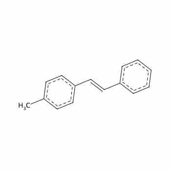 Cc1ccc(C=Cc2ccccc2)cc1